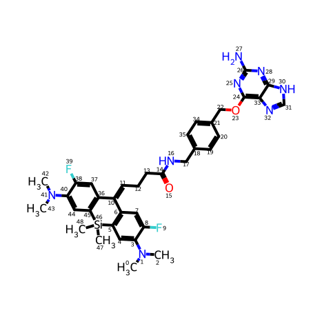 CN(C)c1cc2c(cc1F)C(=CCCC(=O)NCc1ccc(COc3nc(N)nc4[nH]cnc34)cc1)c1cc(F)c(N(C)C)cc1[Si]2(C)C